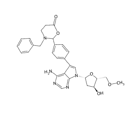 COC[C@H]1O[C@@H](n2cc(-c3ccc(C4OC(=O)CCN4Cc4ccccc4)cc3)c3c(N)ncnc32)C[C@@H]1O